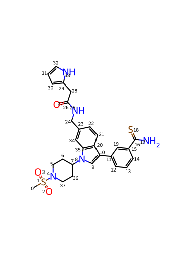 CS(=O)(=O)N1CCC(n2cc(-c3cccc(C(N)=S)c3)c3ccc(CNC(=O)Cc4ccc[nH]4)cc32)CC1